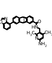 Cc1cc(N)nc(C)c1CNC(=O)c1ccc2c(c1)C1OC2c2ccc(-c3cccc4ocnc34)cc21